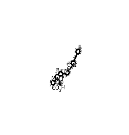 O=C(O)c1ccc2nc(Cc3cc(F)c(-c4cccc(OCc5ncc(C#Cc6ccc(F)cc6)cc5F)n4)cc3F)n(CC3CCO3)c2c1